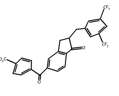 O=C(O)c1ccc(C(=O)c2ccc3c(c2)CC(Cc2cc(C(F)(F)F)cc(C(F)(F)F)c2)C3=O)cc1